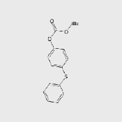 CCC(C)OC(=O)Oc1ccc(Sc2ccccc2)cc1